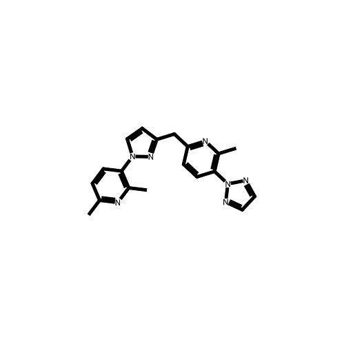 Cc1ccc(-n2ccc(Cc3ccc(-n4nccn4)c(C)n3)n2)c(C)n1